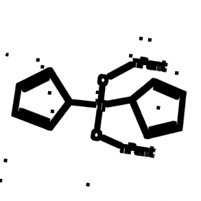 CCCCC[O][Ti]([O]CCCCC)([CH]1C=CC=C1)[CH]1C=CC=C1